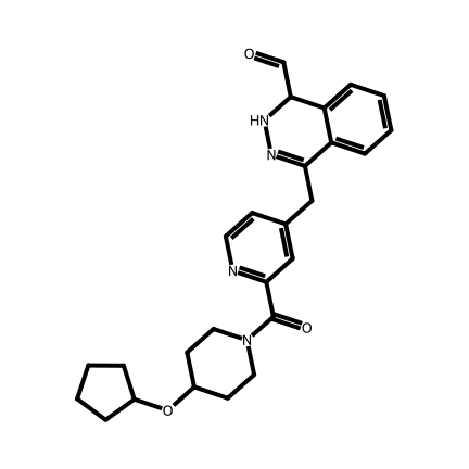 O=CC1NN=C(Cc2ccnc(C(=O)N3CCC(OC4CCCC4)CC3)c2)c2ccccc21